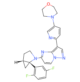 Fc1ccc(F)c([C@@]23C[C@@H]2CCN3c2ccn3ncc(-c4ccc(N5CCOCC5)cn4)c3n2)c1